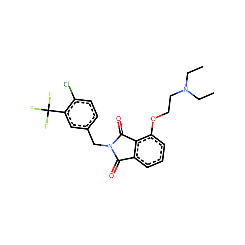 CCN(CC)CCOc1cccc2c1C(=O)N(Cc1ccc(Cl)c(C(F)(F)F)c1)C2=O